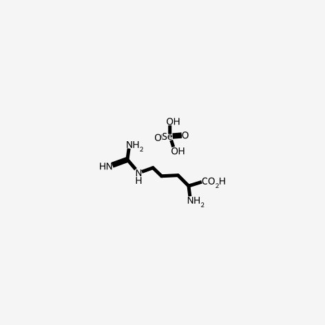 N=C(N)NCCCC(N)C(=O)O.O=[Se](=O)(O)O